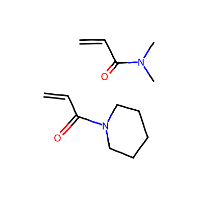 C=CC(=O)N(C)C.C=CC(=O)N1CCCCC1